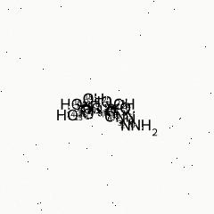 Nc1ncn([C@@H]2O[C@H](CO[C@@H]3O[C@H](CO)[C@@H](O)[C@@H]3O)[C@@H](O)[C@H]2O)c(=O)n1